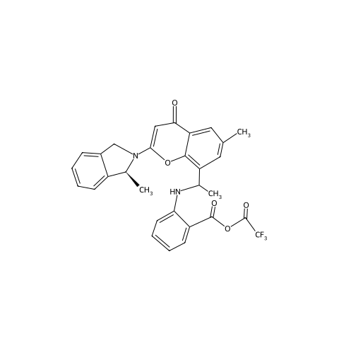 Cc1cc(C(C)Nc2ccccc2C(=O)OC(=O)C(F)(F)F)c2oc(N3Cc4ccccc4[C@@H]3C)cc(=O)c2c1